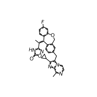 CC(=C1c2ccc(Cc3c(C4CC4)nc4c(C)nccn34)cc2COc2cc(F)ccc21)c1noc(=O)[nH]1